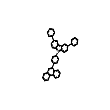 c1ccc(-c2ccc3c(c2)c2cc(-c4ccccc4)ccc2n3-c2ccc(-c3cc4ccccc4c4ccccc34)cc2)cc1